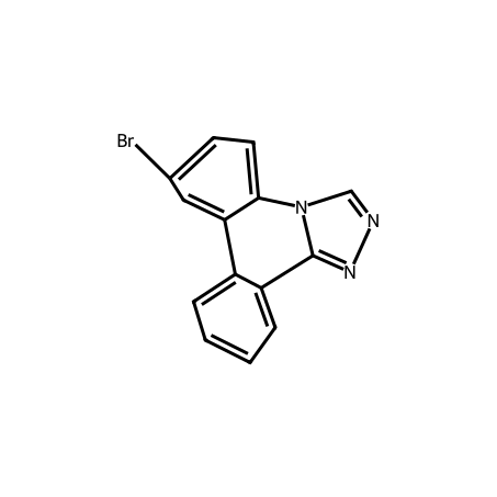 Brc1ccc2c(c1)c1ccccc1c1nncn21